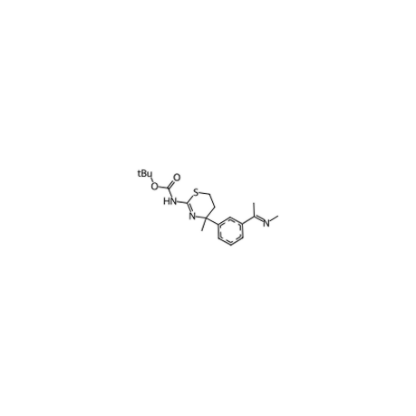 C/N=C(\C)c1cccc(C2(C)CCSC(NC(=O)OC(C)(C)C)=N2)c1